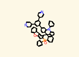 O=P1(c2ccccc2)c2ccccc2C2(c3ccccc3N(c3ccccc3)c3cc(-c4cc(-c5ccncc5)cc(-c5ccncc5)c4)ccc32)c2cc3c(cc21)oc1ccccc13